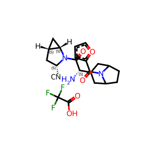 N#C[C@@H]1C[C@@H]2C[C@@H]2N1C(=O)[C@@H](N)C1CC2CCC(C1)N2C(=O)c1ccco1.O=C(O)C(F)(F)F